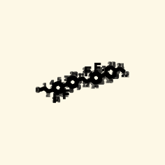 CCCc1ccc(-c2ccc(CCc3ccc(C4=CCC(CC)CC4)c(F)c3F)cc2)c(F)c1F